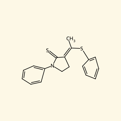 CC(Sc1ccccc1)=C1CCN(c2ccccc2)C1=S